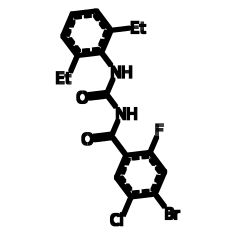 CCc1cccc(CC)c1NC(=O)NC(=O)c1cc(Cl)c(Br)cc1F